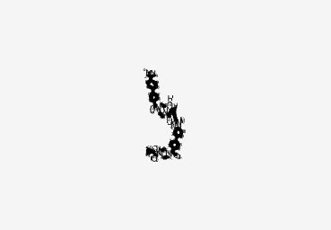 Cn1cc(-c2ccc(-c3ccc(C(=O)N4CCN(C(=O)C5(O)CC5c5nc6cc(-c7ccc(C(=O)N8CCN(C(=O)C9(O)CC9)CC8)cc7)ccc6n5C)CC4)cc3)cc2)cn1